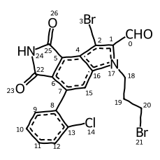 O=Cc1c(Br)c2c3c(c(-c4ccccc4Cl)cc2n1CCCBr)C(=O)NC3=O